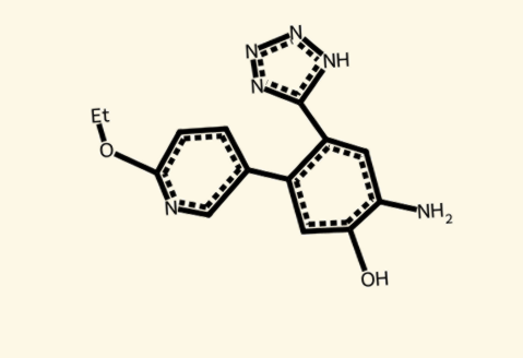 CCOc1ccc(-c2cc(O)c(N)cc2-c2nnn[nH]2)cn1